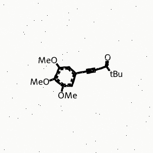 COc1cc(C#CC(=O)C(C)(C)C)cc(OC)c1OC